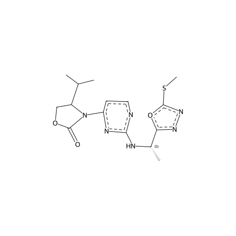 CSc1nnc([C@H](C)Nc2nccc(N3C(=O)OCC3C(C)C)n2)o1